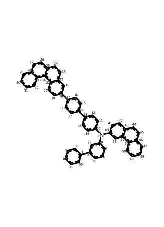 c1ccc(-c2cccc(N(c3ccc(-c4ccc(-c5ccc6c(ccc7ccc8ccccc8c76)c5)cc4)cc3)c3ccc4ccc5ccccc5c4c3)c2)cc1